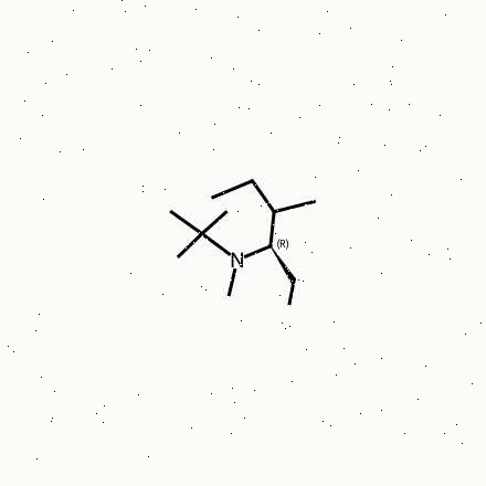 CCC(C)[C@@H](CC)N(C)C(C)(C)C